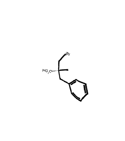 CC(C)C[C@@](C)(Cc1ccccc1)C(=O)O